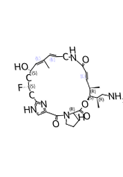 CC1=C\[C@@H](O)C[C@@H](F)Cc2nc(c[nH]2)C(=O)N2CCC[C@@H]2C(=O)O[C@H]([C@H](C)CN)[C@H](C)/C=C/C(=O)NC\C=C\1